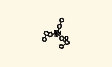 c1ccc(-c2ccc(-c3nc(-c4ccc5c(-c6ccccc6)cccc5c4)nc(-c4ccc5c(c4)oc4cccc(-c6ccccc6)c45)n3)cc2)cc1